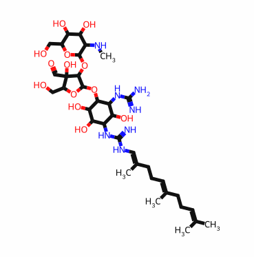 CNC1C(OC2C(OC3C(O)C(O)C(NC(=N)N/C=C(\C)CC/C=C(\C)CCC=C(C)C)C(O)C3NC(=N)N)OC(CO)C2(O)C=O)OC(CO)C(O)C1O